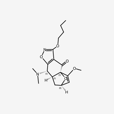 CCCCOc1noc2c1C(=O)[C@@]13O[C@@H](C=C1OC)C[C@H]3[C@@H]2N(C)C